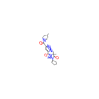 CCN1C(=O)c2cc(C(=O)N3CCC(C)CC3)nn2CC1(C)C(=O)NC1CCCC1